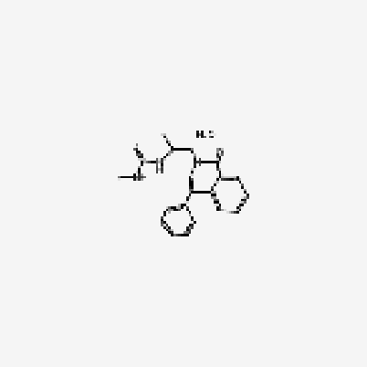 CNC(=O)NC(C)Cn1cc(-c2ccccc2)c2ccccc2c1=O.O